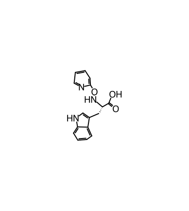 O=C(O)[C@H](Cc1c[nH]c2ccccc12)NOc1ccccn1